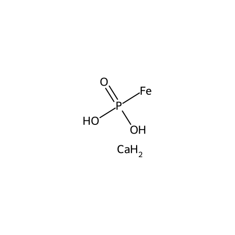 O=[P](O)(O)[Fe].[CaH2]